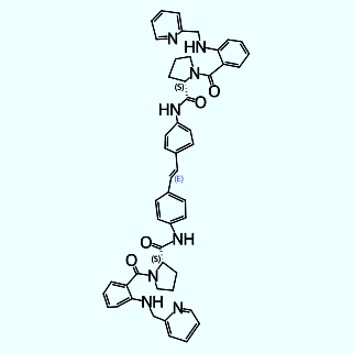 O=C(Nc1ccc(/C=C/c2ccc(NC(=O)[C@@H]3CCCN3C(=O)c3ccccc3NCc3ccccn3)cc2)cc1)[C@@H]1CCCN1C(=O)c1ccccc1NCc1ccccn1